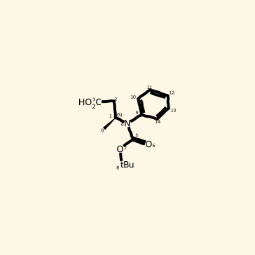 C[C@@H](CC(=O)O)N(C(=O)OC(C)(C)C)c1ccccc1